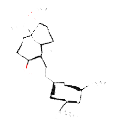 COc1cc(CCC2C(O)CC[C@]3(C)[C@@H](OC(C)(C)C)CC[C@@H]23)cc(OC)c1